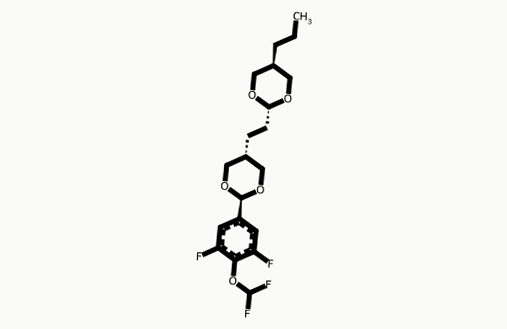 CCC[C@H]1CO[C@H](CC[C@H]2CO[C@H](c3cc(F)c(OC(F)F)c(F)c3)OC2)OC1